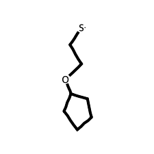 [S]CCOC1CCCC1